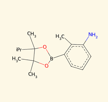 Cc1c(N)cccc1B1OC(C)(C)C(C)(C(C)C)O1